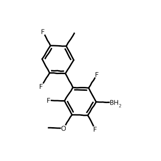 Bc1c(F)c(OC)c(F)c(-c2cc(C)c(F)cc2F)c1F